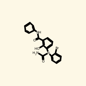 NC(=O)N(c1ccccc1Br)c1cccc(C(=O)Nc2ccccc2)c1O